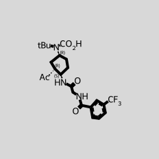 CC(=O)[C@@H]1C[C@H](N(C(=O)O)C(C)(C)C)CC[C@@H]1NC(=O)CNC(=O)c1cccc(C(F)(F)F)c1